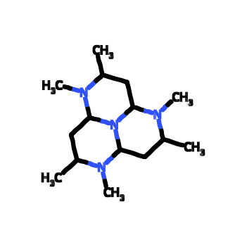 CC1CC2N(C)C(C)CC3N(C)C(C)CC(N1C)N32